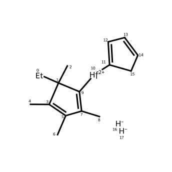 CCC1(C)C(C)=C(C)C(C)=[C]1[Hf+2][C]1=CC=CC1.[H-].[H-]